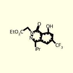 CCOC(=O)Cn1nc(C(C)C)c2cc(C(F)(F)F)cc(O)c2c1=O